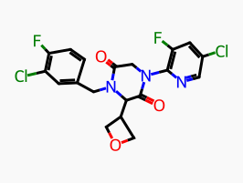 O=C1C(C2COC2)N(Cc2ccc(F)c(Cl)c2)C(=O)CN1c1ncc(Cl)cc1F